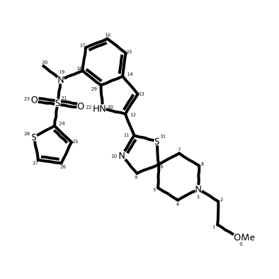 COCCN1CCC2(CC1)CN=C(c1cc3cccc(N(C)S(=O)(=O)c4cccs4)c3[nH]1)S2